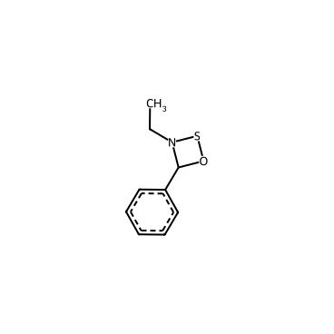 CCN1SOC1c1ccccc1